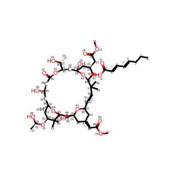 CCC/C=C/C=C/C(=O)O[C@H]1[C@H](CC(=O)OC)C[C@@]2(O)C[C@H]([C@@H](C)O)OC(=O)C[C@H](O)C[C@@H]3C[C@H](O[C@@H](C)O)C(C)(C)[C@](O)(C[C@@H]4C/C(=C/C(=O)OC)C[C@H](/C=C/C(C)(C)[C@]1(O)O2)O4)O3